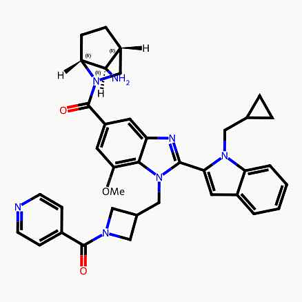 COc1cc(C(=O)N2C[C@H]3CC[C@@H]2[C@@H]3N)cc2nc(-c3cc4ccccc4n3CC3CC3)n(CC3CN(C(=O)c4ccncc4)C3)c12